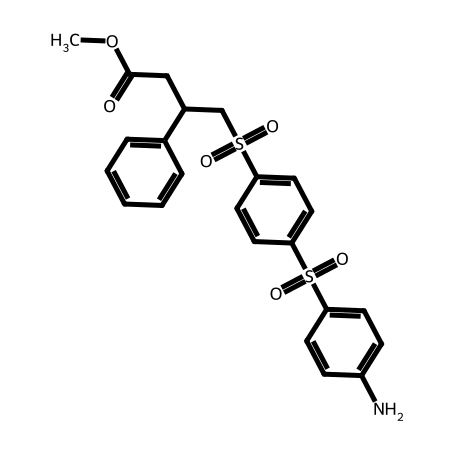 COC(=O)CC(CS(=O)(=O)c1ccc(S(=O)(=O)c2ccc(N)cc2)cc1)c1ccccc1